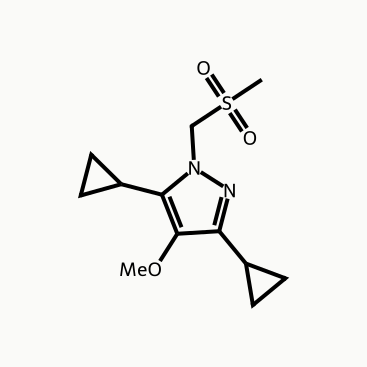 COc1c(C2CC2)nn(CS(C)(=O)=O)c1C1CC1